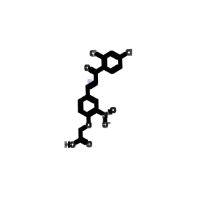 O=C(O)COc1ccc(/C=C/C(=O)c2ccc(Cl)cc2Cl)cc1[N+](=O)[O-]